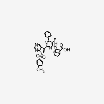 Cc1ccc(S(=O)(=O)n2cc(-c3nc(NC4C5CCC(CC5)C4C(=O)O)c(F)c(-c4ccccc4)n3)c3cncnc32)cc1